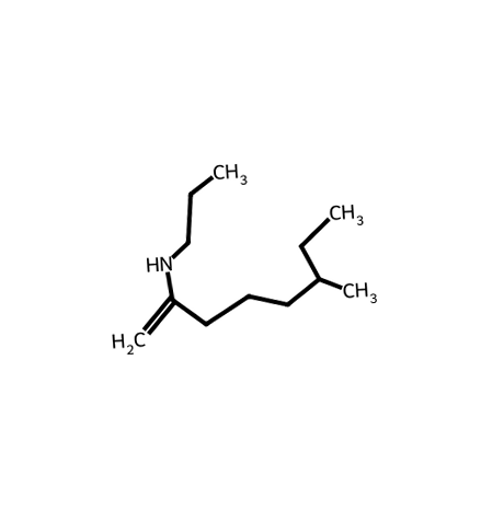 C=C(CCCC(C)CC)NCCC